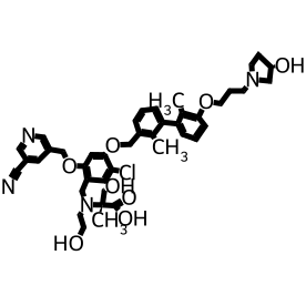 Cc1c(COc2cc(OCc3cncc(C#N)c3)c(CN(CCO)[C@@](C)(CO)C(=O)O)cc2Cl)cccc1-c1cccc(OCCCN2CC[C@@H](O)C2)c1C